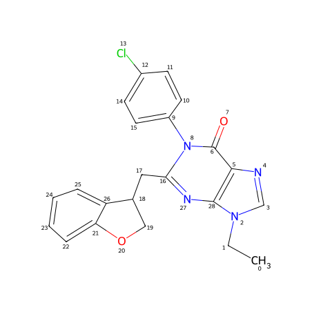 CCn1cnc2c(=O)n(-c3ccc(Cl)cc3)c(CC3COc4ccccc43)nc21